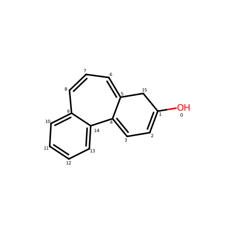 OC1=CC=C2C(=CC=Cc3ccccc32)C1